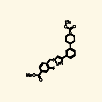 COC(=O)c1ccc(Cn2cc(-c3cccc(C4CCN(C(=O)OC(C)(C)C)CC4)c3)nn2)c(F)c1